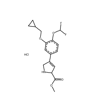 COC(=O)C1C=C(c2ccc(OC(F)F)c(OCC3CC3)c2)CN1.Cl